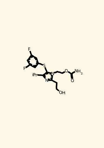 CC(C)c1nc(CCO)n(CCOC(N)=O)c1Sc1cc(F)cc(F)c1